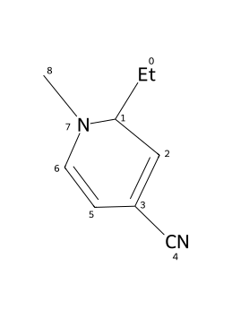 CCC1C=C(C#N)C=CN1C